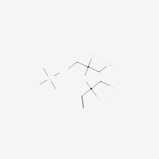 CCC(N)(CN)OC(N)(CC)CN.C[N+](C)(C)C